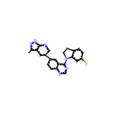 Cc1n[nH]c2ncc(-c3ccc4ncnc(N5CCc6ccc(Cl)cc65)c4c3)cc12